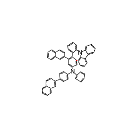 c1ccc(N(c2ccc(-c3ccc4ccccc4c3)cc2)c2ccc(-c3ccccc3-n3c4ccccc4c4ccccc43)c(-c3ccc4ccccc4c3)c2)cc1